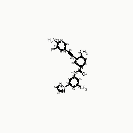 Cc1ccc(C(=O)Nc2cc(-n3nccn3)cc(C(F)(F)F)c2)cc1C#Cc1cnc(N)c(F)c1